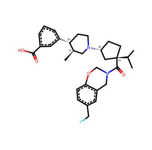 CC(C)[C@]1(C(=O)N2COc3ccc(CF)cc3C2)CC[C@@H](N2CC[C@@H](c3cccc(C(=O)O)c3)[C@H](C)C2)C1